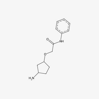 NC1CCC(OCC(=O)Nc2ccccc2)C1